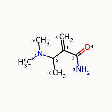 C=C(C(N)=O)C(C)N(C)C